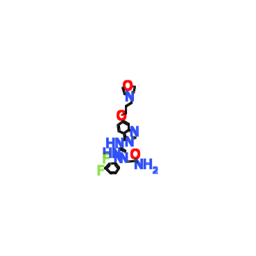 NC(=O)CN1C=C(Nc2ncnc3cc(OCCCN4CCOCC4)ccc23)NN1c1cccc(F)c1F